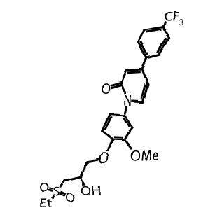 CCS(=O)(=O)C[C@H](O)COc1ccc(-n2ccc(-c3ccc(C(F)(F)F)cc3)cc2=O)cc1OC